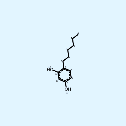 CCCCCCc1c[c]c(O)cc1O